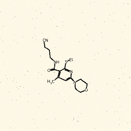 CCSc1nc(N2CCOCC2)cc(C)c1C(=O)NCCCC#N